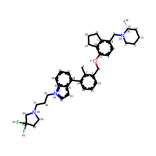 Cc1c(COc2ccc(CN3CCCC[C@H]3C)c3c2CCC3)cccc1-c1cccc2c1ccn2CCCN1CCC(F)(F)C1